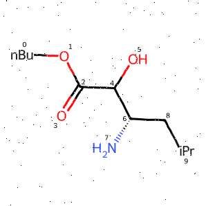 CCCCOC(=O)C(O)[C@@H](N)CC(C)C